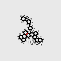 CC1(C)c2ccccc2-c2c1ccc1c(N(c3ccc(-c4ccc5oc6ccccc6c5c4)cc3)c3ccc(-c4cccc5cccc(-c6ccccc6)c45)cc3)cccc21